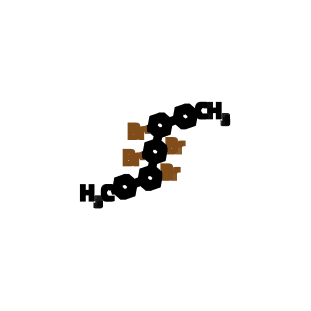 Cc1ccc(-c2ccc(Br)c(-c3cc(Br)c(-c4cc(-c5ccc(C)cc5)ccc4Br)cc3Br)c2)cc1